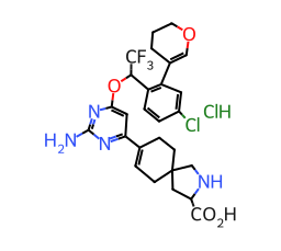 Cl.Nc1nc(OC(c2ccc(Cl)cc2C2=COCCC2)C(F)(F)F)cc(C2=CCC3(CC2)CNC(C(=O)O)C3)n1